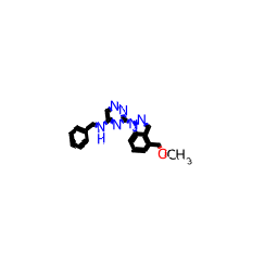 COCc1cccc2c1cnn2-c1nncc(NCc2ccccc2)n1